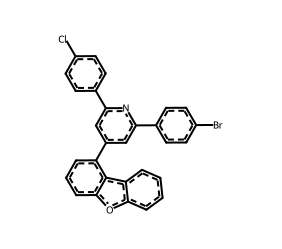 Clc1ccc(-c2cc(-c3cccc4oc5ccccc5c34)cc(-c3ccc(Br)cc3)n2)cc1